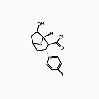 CCC(=O)[C@@H]1[C@@H]2SC(CC2O)C[C@H]1c1ccc(I)cc1